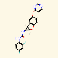 O=C(/N=C1\[C@H]2Oc3ccc(Oc4ccncn4)cc3[C@@H]12)Nc1ccc(F)cc1F